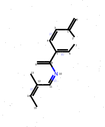 C=C(C)/C=C\C(=C/C)C(=C)/N=C\C(C)=C/C